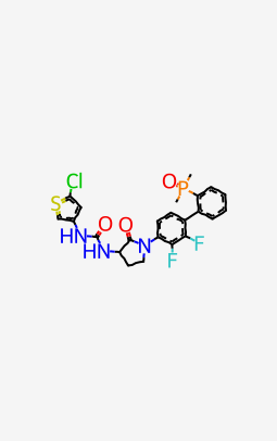 CP(C)(=O)c1ccccc1-c1ccc(N2CCC(NC(=O)Nc3csc(Cl)c3)C2=O)c(F)c1F